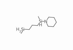 C[SiH2]CCC[SiH](C)N1CCCCC1